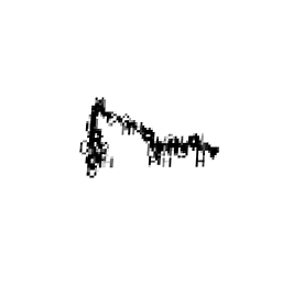 O=C1CCC(N2C(=O)c3ccc(OCCc4cnnn4CCOCCOCCNCc4ccc(-n5cc(NC(=O)c6coc(-c7ccnc(NCC8CC8)c7)n6)c(C(F)F)n5)cc4)cc3C2=O)C(=O)N1